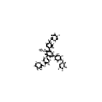 CC1(c2ccc(OC3CCCCO3)cc2)C=C(c2ccc(OC3CCCCO3)cc2)C=C(c2ccc(OC3CCCCO3)cc2)C1S(=O)(=O)O